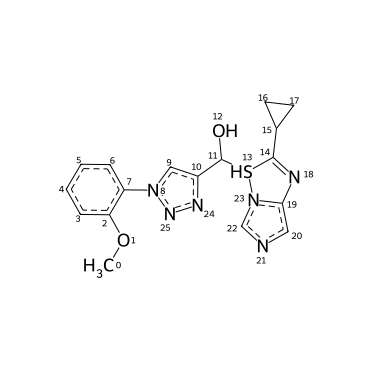 COc1ccccc1-n1cc(C(O)[SH]2C(C3CC3)=Nc3cncn32)nn1